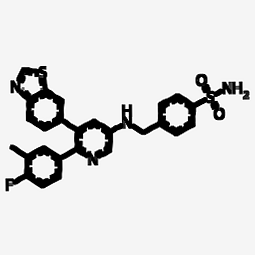 Cc1cc(-c2ncc(NCc3ccc(S(N)(=O)=O)cc3)cc2-c2ccc3ncsc3c2)ccc1F